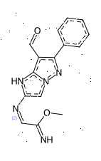 COC(=N)/C=N\c1cn2nc(-c3ccccc3)c(C=O)c2[nH]1